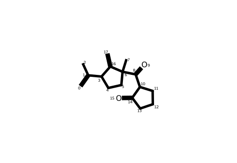 C=C(C)C1CCC(C)(C(=O)C2CCCC2=O)C1=C